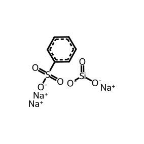 O=S(=O)([O-])c1ccccc1.O=[Si]([O-])[O-].[Na+].[Na+].[Na+]